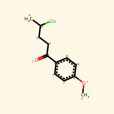 COc1ccc(C(=O)CCC(C)Cl)cc1